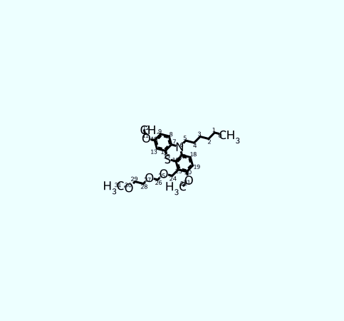 CCCCCCN1c2ccc(OC)cc2Sc2c1ccc(OC)c2COCOCCOC